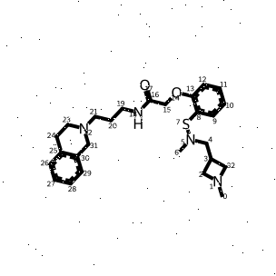 CN1CC(CN(C)Sc2ccccc2OCC(=O)NCCCN2CCc3ccccc3C2)C1